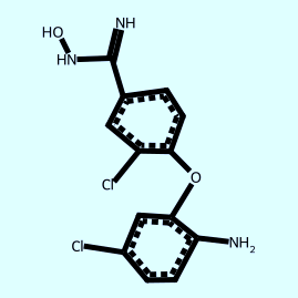 N=C(NO)c1ccc(Oc2cc(Cl)ccc2N)c(Cl)c1